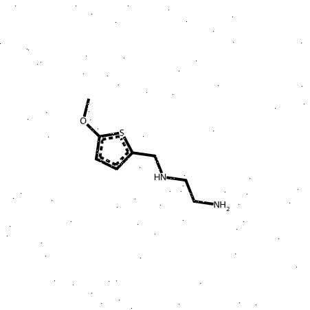 COc1ccc(CNCCN)s1